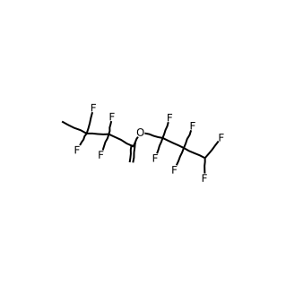 C=C(OC(F)(F)C(F)(F)C(F)F)C(F)(F)C(C)(F)F